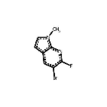 Cn1ccc2cc(Br)c(F)nc21